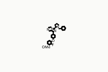 COc1cccc(Oc2ccc(-c3nc(C4CCCN4Cc4ccccc4)n4ccncc34)cc2)c1F